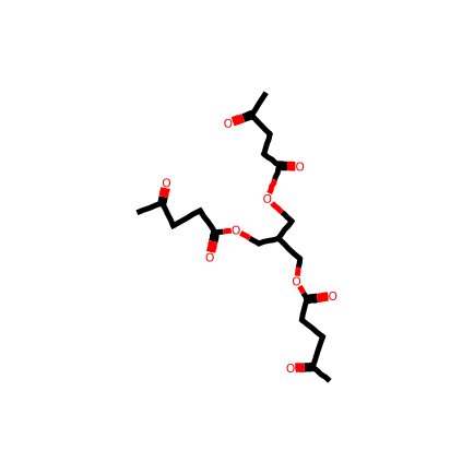 CC(=O)CCC(=O)OCC(COC(=O)CCC(C)=O)COC(=O)CCC(C)=O